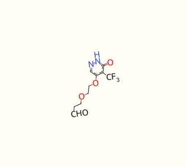 O=CCCOCCOc1cn[nH]c(=O)c1C(F)(F)F